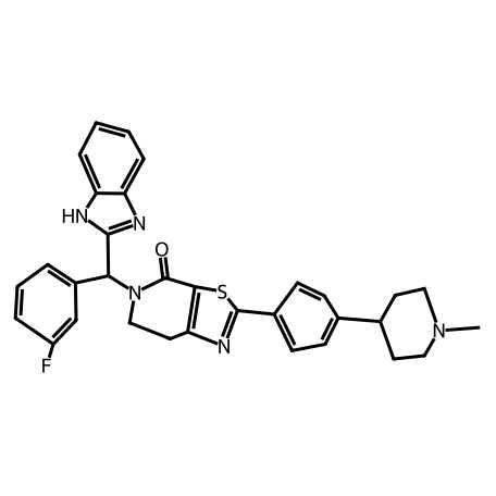 CN1CCC(c2ccc(-c3nc4c(s3)C(=O)N(C(c3cccc(F)c3)c3nc5ccccc5[nH]3)CC4)cc2)CC1